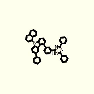 c1ccc(C2=NC(c3ccccc3)NC(c3cccc(-c4cccc5c4c4cc(-c6ccccc6)ccc4n5-c4cccc5ccccc45)c3)=N2)cc1